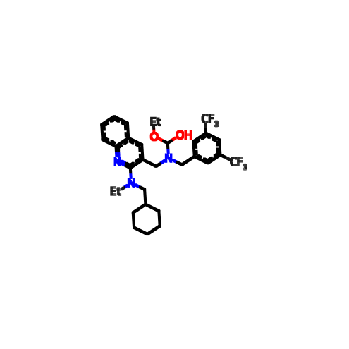 CCOC(O)N(Cc1cc(C(F)(F)F)cc(C(F)(F)F)c1)Cc1cc2ccccc2nc1N(CC)CC1CCCCC1